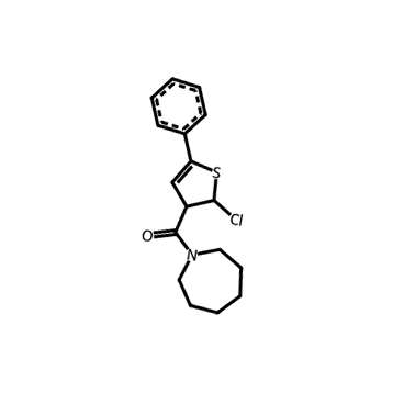 O=C(C1C=C(c2ccccc2)SC1Cl)N1CCCCCC1